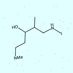 CNCCC(O)C(C)CNI